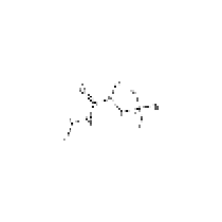 CCOC(=O)C(C)CC(C)(C)C